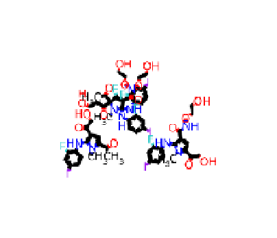 CC(=O)C1(C(=O)CCO)C(F)=C(C(=O)N(OCCO)OCCO)C(Nc2ccc(I)cc2F)(Nc2ccc(I)cc2F)N1C.CC(=O)c1cc(C(=O)CO)c(Nc2ccc(I)cc2F)n1C.Cn1c(C(=O)CO)cc(C(=O)NOCCO)c1Nc1ccc(I)cc1F